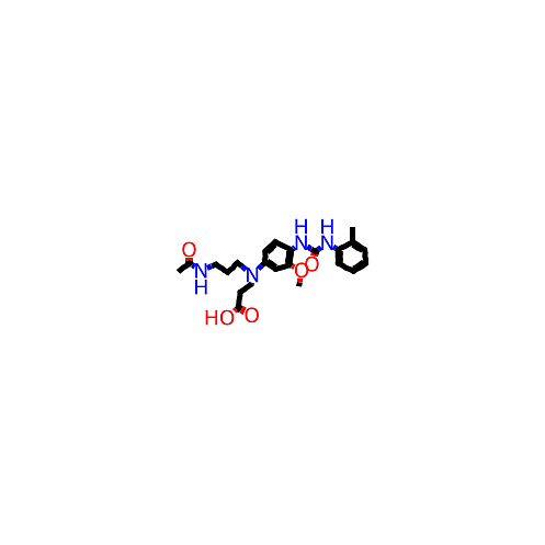 COc1cc(N(CCCNC(C)=O)CCC(=O)O)ccc1NC(=O)Nc1ccccc1C